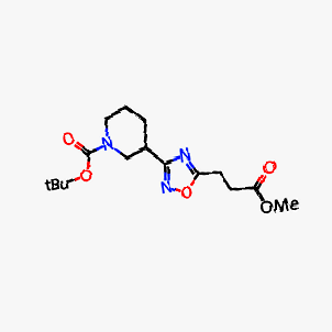 COC(=O)CCc1nc(C2CCCN(C(=O)OC(C)(C)C)C2)no1